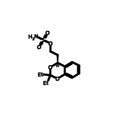 CCC1(CC)Oc2ccccc2[C@H](CCOS(N)(=O)=O)O1